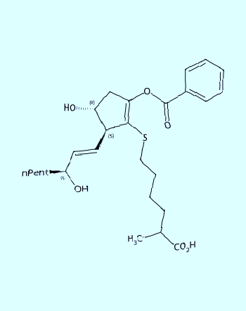 CCCCC[C@H](O)C=C[C@@H]1C(SCCCCC(C)C(=O)O)=C(OC(=O)c2ccccc2)C[C@H]1O